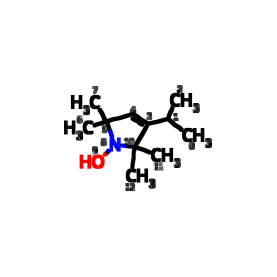 CC(C)C1=CC(C)(C)N(O)C1(C)C